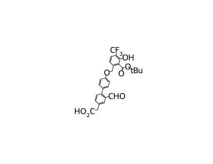 CC(C)(C)OC(=O)c1c(COc2ccc(-c3ccc(CC(=O)O)cc3C=O)cc2)ccc(C(F)(F)F)c1O